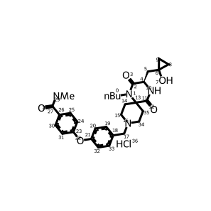 CCCCN1C(=O)[C@@H](CC2(O)CC2)NC(=O)C12CCN(Cc1ccc(Oc3ccc(C(=O)NC)cc3)cc1)CC2.Cl